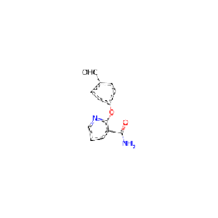 NC(=O)c1cccnc1Oc1ccc(C=O)cc1